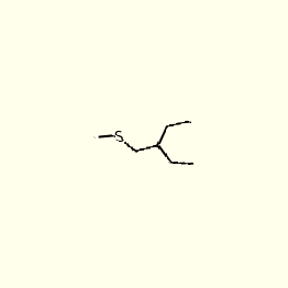 [CH2]SCC(CC)CC